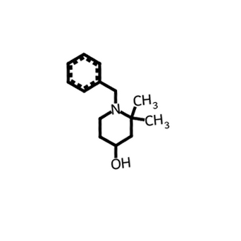 CC1(C)CC(O)CCN1Cc1ccccc1